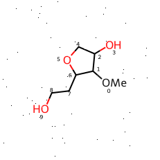 COC1C(O)COC1CCO